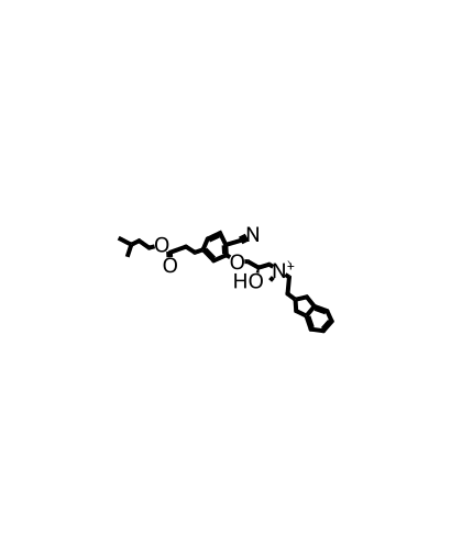 CC(C)CCOC(=O)CCc1ccc(C#N)c(OC[C@H](O)C[N+](C)(C)CCC2Cc3ccccc3C2)c1